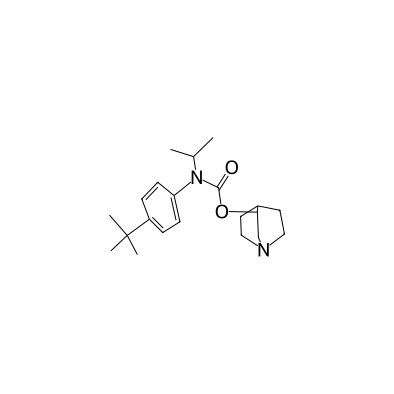 CC(C)N(C(=O)OC1CN2CCC1CC2)c1ccc(C(C)(C)C)cc1